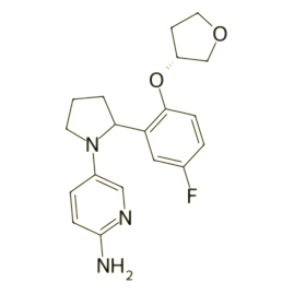 Nc1ccc(N2CCCC2c2cc(F)ccc2O[C@@H]2CCOC2)cn1